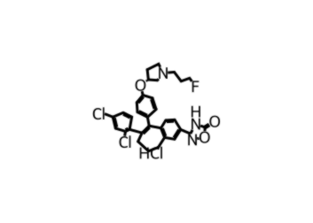 Cl.O=c1[nH]c(-c2ccc3c(c2)CCCC(c2ccc(Cl)cc2Cl)=C3c2ccc(O[C@H]3CCN(CCCF)C3)cc2)no1